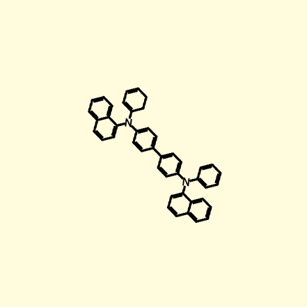 C1=CCCC(N(c2ccc(-c3ccc(N(c4ccccc4)c4cccc5ccccc45)cc3)cc2)c2cccc3ccccc23)=C1